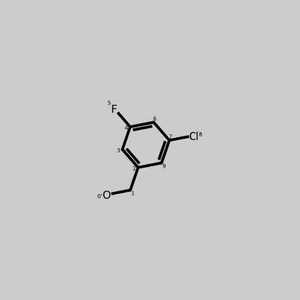 [O]Cc1cc(F)cc(Cl)c1